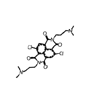 CN(C)CCCN1C(=O)c2cc(Cl)c3c4c(cc(Cl)c(c24)C1=O)C(=O)N(CCCN(C)C)C3=O